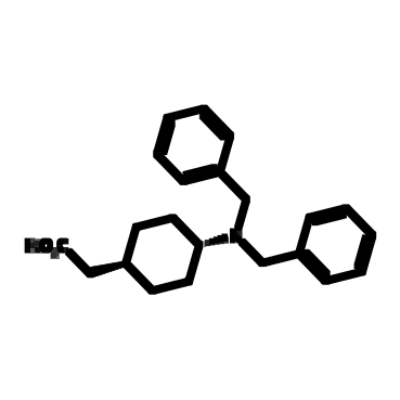 CCOC(=O)C[C@H]1CC[C@H](N(Cc2ccccc2)Cc2ccccc2)CC1